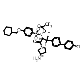 N[C@@H]1CCN(C(=O)[C@H](N(OC(=O)C(F)(F)F)S(=O)(=O)c2ccc(OCC3CCCCC3)cc2)C(F)(F)c2ccc(-c3ccc(Cl)cc3)cc2)C1